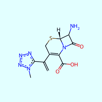 C=C(C1=C(C(=O)O)N2C(=O)C(N)[C@H]2SC1)c1nnnn1C